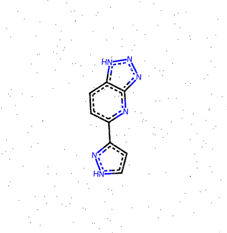 c1cc(-c2ccc3[nH]nnc3n2)n[nH]1